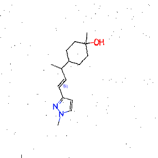 CC(/C=C/c1ccn(C)n1)C1CCC(C)(O)CC1